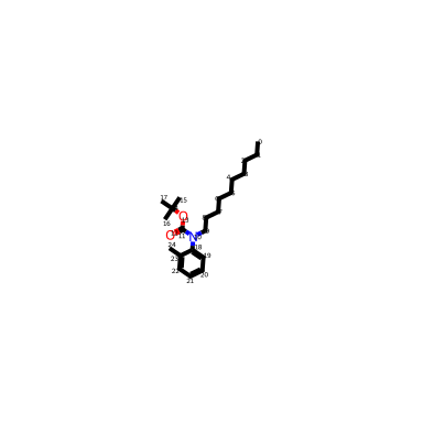 CCCCCCCCCCN(C(=O)OC(C)(C)C)c1ccccc1C